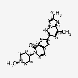 Cc1cn2nc(-c3cc4ccn(C5CCN(C)CC5)c(=O)c4s3)cc(C)c2n1